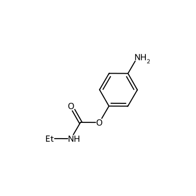 CCNC(=O)Oc1ccc(N)cc1